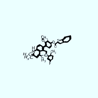 COc1cc(OC(=O)c2cc3ccccc3s2)ccc1-c1ccc2c(c1COc1cc(F)ccc1C)C(C)=CC(C)(C)N2